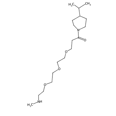 CNCCOCCOCCOCCC(=O)N1CCC(C(C)C)CC1